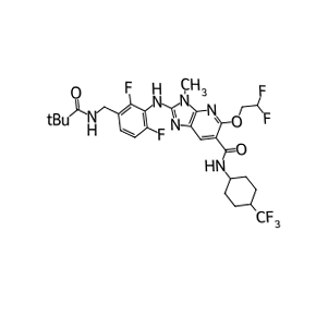 Cn1c(Nc2c(F)ccc(CNC(=O)C(C)(C)C)c2F)nc2cc(C(=O)NC3CCC(C(F)(F)F)CC3)c(OCC(F)F)nc21